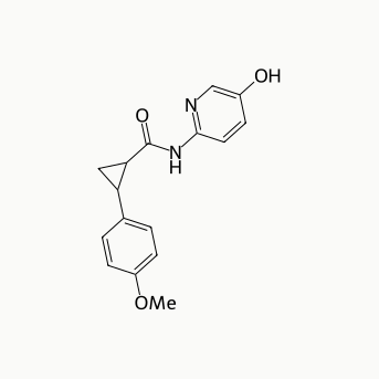 COc1ccc(C2CC2C(=O)Nc2ccc(O)cn2)cc1